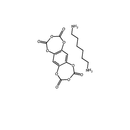 NCCCCCCN.O=c1oc(=O)oc2cc3oc(=O)oc(=O)oc3cc2o1